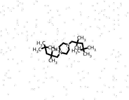 CC(C)(C)CC(C)(C)CN1CCN(CC(C)(C)CC(C)(C)C)CC1